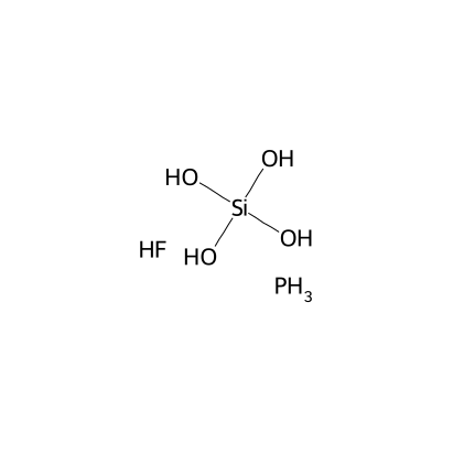 F.O[Si](O)(O)O.P